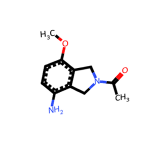 COc1ccc(N)c2c1CN(C(C)=O)C2